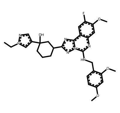 CCn1cc(C2(O)CCCC(c3nc4c5cc(F)c(OC)cc5nc(NCc5ccc(OC)cc5OC)n4n3)C2)cn1